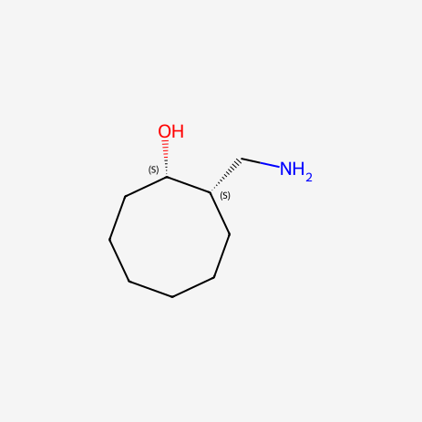 NC[C@@H]1CCCCCC[C@@H]1O